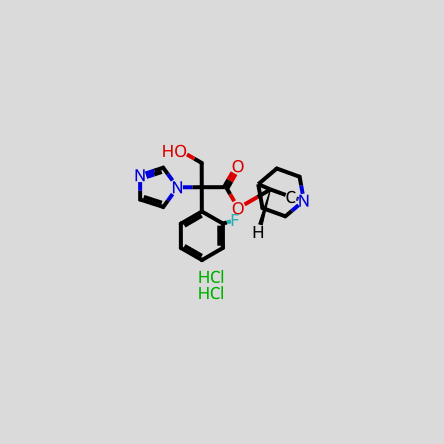 Cl.Cl.O=C(O[C@H]1CN2CCC1CC2)C(CO)(c1ccccc1F)n1ccnc1